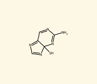 NC1=NC2(S)N=CN=C2C=N1